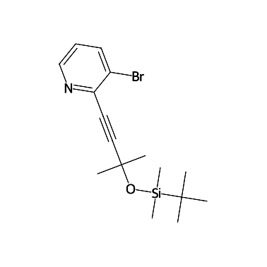 CC(C)(C#Cc1ncccc1Br)O[Si](C)(C)C(C)(C)C